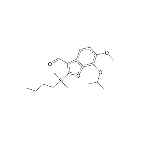 CCCC[Si](C)(C)c1oc2c(OC(C)C)c(OC)ccc2c1C=O